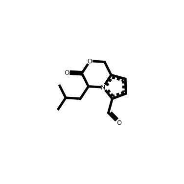 CC(C)CC1C(=O)OCc2ccc(C=O)n21